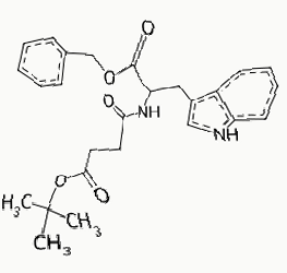 CC(C)(C)OC(=O)CCC(=O)NC(Cc1c[nH]c2ccccc12)C(=O)OCc1ccccc1